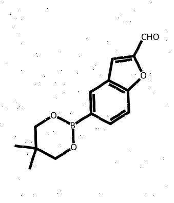 CC1(C)COB(c2ccc3oc(C=O)cc3c2)OC1